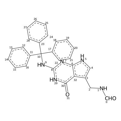 O=CNCc1c[nH]c2nc(NC(c3ccccc3)(c3ccccc3)c3ccccc3)[nH]c(=O)c12